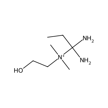 CCC(N)(N)[N+](C)(C)CCO